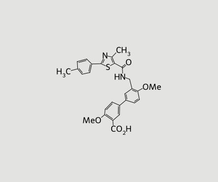 COc1ccc(-c2ccc(OC)c(C(=O)O)c2)cc1CNC(=O)c1sc(-c2ccc(C)cc2)nc1C